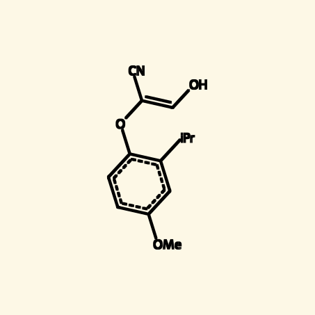 COc1ccc(OC(C#N)=CO)c(C(C)C)c1